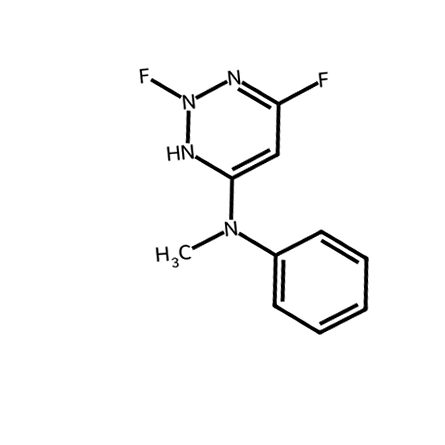 CN(C1=CC(F)=NN(F)N1)c1ccccc1